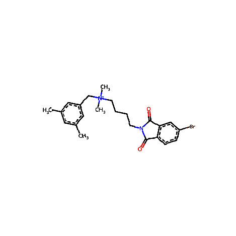 Cc1cc(C)cc(C[N+](C)(C)CCCCN2C(=O)c3ccc(Br)cc3C2=O)c1